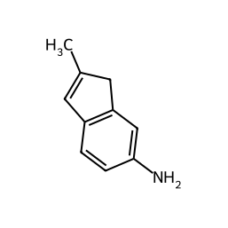 CC1=Cc2ccc(N)cc2C1